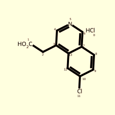 Cl.O=C(O)Cc1cncc2ccc(Cl)cc12